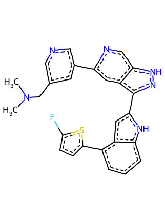 CN(C)Cc1cncc(-c2cc3c(-c4cc5c(-c6ccc(F)s6)cccc5[nH]4)n[nH]c3cn2)c1